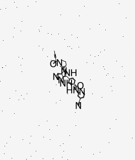 CC#CC(=O)N1CCC[C@@H](N2NC(c3ccc(C(=O)Nc4cc(C#N)ccn4)cc3)=C3C2=CN=CN3N)C1